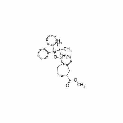 COC(=O)C1=CCCc2c(cccc2O[Si](c2ccccc2)(c2ccccc2)C(C)(C)C)C1